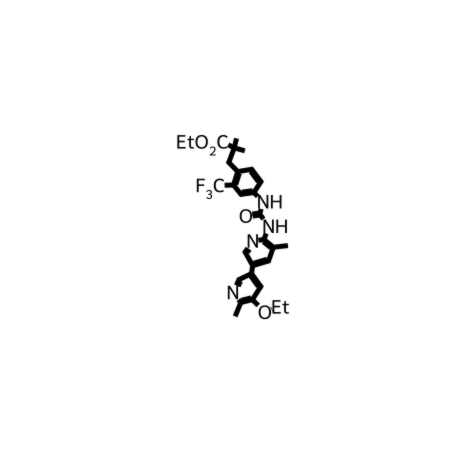 CCOC(=O)C(C)(C)Cc1ccc(NC(=O)Nc2ncc(-c3cnc(C)c(OCC)c3)cc2C)cc1C(F)(F)F